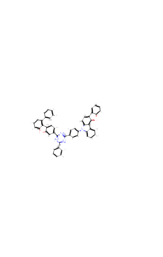 c1ccc(-c2nc(-c3ccc(-n4c5ccccc5c5c6oc7ccccc7c6ccc54)cc3)nc(-c3ccc4c(c3)oc3cccc(-c5ccccc5)c34)n2)cc1